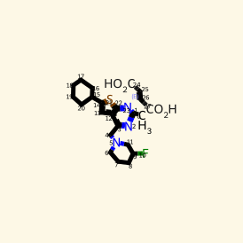 Cc1nc(CN2CCCC(F)C2)c2cc(C3CCCCC3)sc2n1.O=C(O)/C=C/C(=O)O